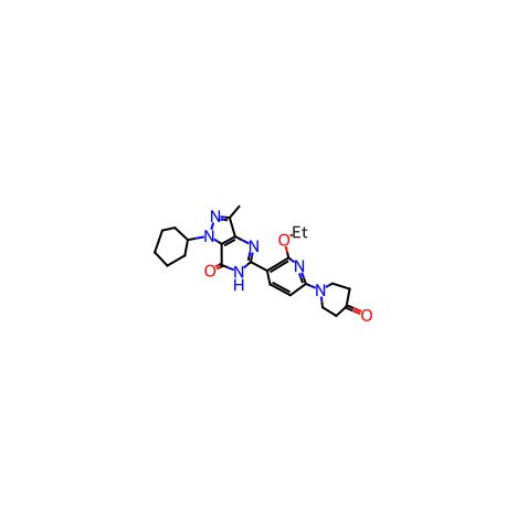 CCOc1nc(N2CCC(=O)CC2)ccc1-c1nc2c(C)nn(C3CCCCC3)c2c(=O)[nH]1